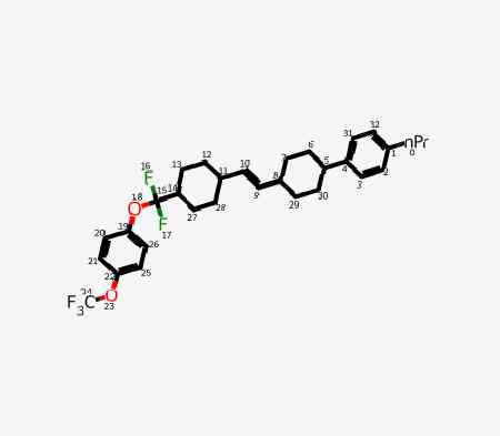 CCCc1ccc(C2CCC(/C=C/C3CCC(C(F)(F)Oc4ccc(OC(F)(F)F)cc4)CC3)CC2)cc1